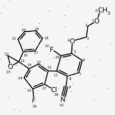 COCCOc1ccc(C#N)c(-c2cc(C3(c4ccccc4)CO3)cc(F)c2Cl)c1F